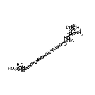 C=C(C1=Cc2ccc(-c3ccc(CNC(=O)CCOCCOCCOCCOCCOCCOCCOCCOCCOCCOCCC(=O)Oc4c(F)c(F)c(S(=O)(=O)O)c(F)c4F)c(C#N)c3)cc2N=C(N)C1)N(CCC)OCC